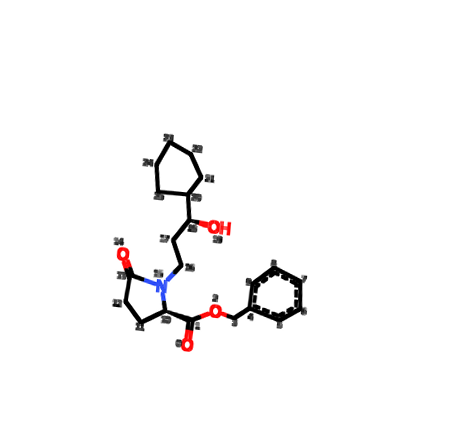 O=C(OCc1ccccc1)[C@H]1CCC(=O)N1CC[C@H](O)C1CCCCC1